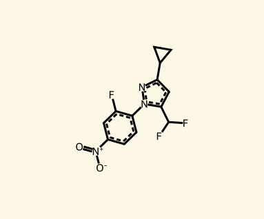 O=[N+]([O-])c1ccc(-n2nc(C3CC3)cc2C(F)F)c(F)c1